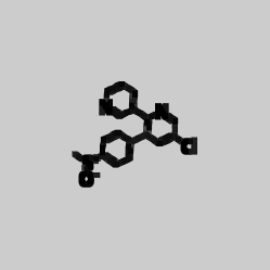 C[S+]([O-])c1ccc(-c2cc(Cl)cnc2-c2cccnc2)cc1